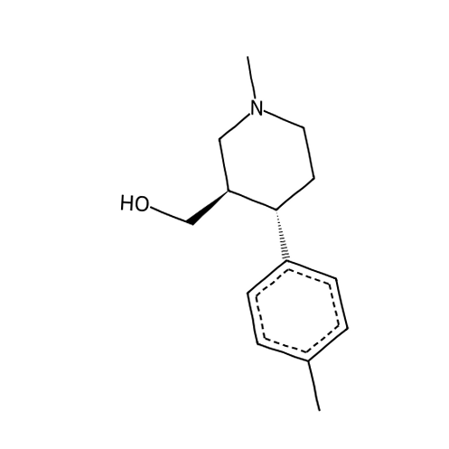 Cc1ccc([C@H]2CCN(C)C[C@@H]2CO)cc1